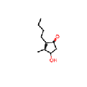 CCCCC1=C(C)C(O)CC1=O